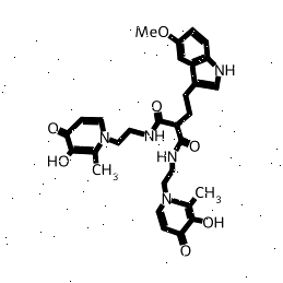 COc1ccc2[nH]cc(CCC(C(=O)NCCn3ccc(=O)c(O)c3C)C(=O)NCCn3ccc(=O)c(O)c3C)c2c1